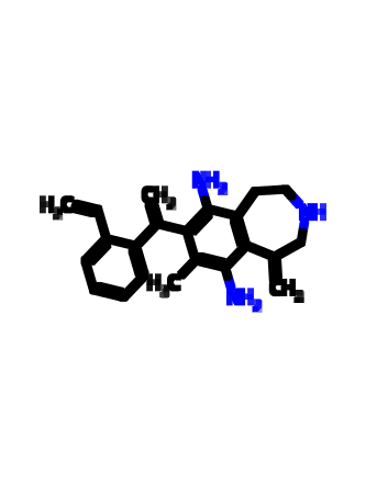 C=Cc1ccccc1C(=C)c1c(C)c(N)c2c(c1N)CCNCC2=C